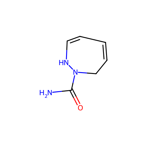 NC(=O)N1CC=CC=CN1